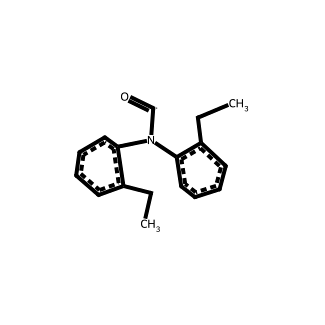 CCc1ccccc1N([C]=O)c1ccccc1CC